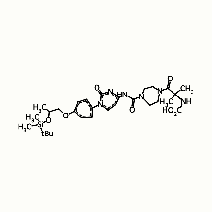 CC(COc1ccc(-n2ccc(NC(=O)N3CCN(C(=O)C(C)(C)NC(=O)O)CC3)nc2=O)cc1)O[Si](C)(C)C(C)(C)C